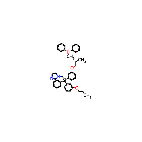 CB(c1ccccc1)c1ccccc1.CCCOc1cccc([Si](Cn2ccnc2)(c2ccccc2)c2cccc(OCCC)c2)c1